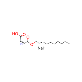 CCCCCCCCCCOC(=O)/C=C\C(=O)O.[NaH]